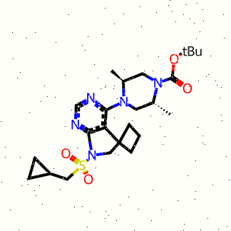 C[C@@H]1CN(c2ncnc3c2C2(CCC2)CN3S(=O)(=O)CC2CC2)[C@@H](C)CN1C(=O)OC(C)(C)C